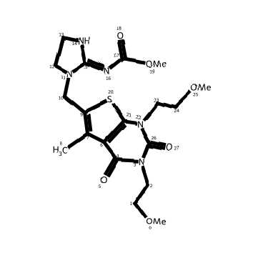 COCCn1c(=O)c2c(C)c(CN3CCNC3=NC(=O)OC)sc2n(CCOC)c1=O